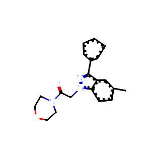 Cc1ccc2c(c1)c(-c1ccccc1)nn2CC(=O)N1CCOCC1